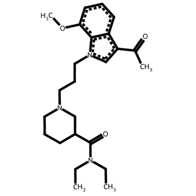 CCN(CC)C(=O)C1CCCN(CCCn2cc(C(C)=O)c3cccc(OC)c32)C1